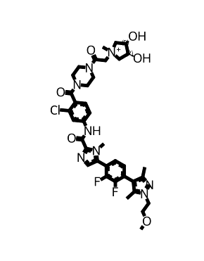 COCCn1nc(C)c(-c2ccc(-c3cnc(C(=O)Nc4ccc(C(=O)N5CCN(C(=O)C[N+]6(C)C[C@@H](O)[C@H](O)C6)CC5)c(Cl)c4)n3C)c(F)c2F)c1C